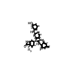 C[C@]1(C(N)=O)CC[C@H](n2c(Nc3c(F)cc(F)cc3F)nc3cnc(N[C@@H]4CCC[C@H](O)C4)nc32)CC1